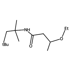 CCOC(C)CC(=O)NC(C)(C)CC(C)(C)C